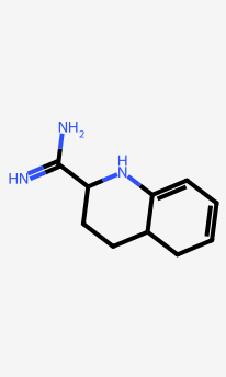 N=C(N)C1CCC2CC=CC=C2N1